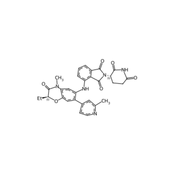 CC[C@@H]1Oc2cc(-c3ccnc(C)c3)c(Nc3cccc4c3C(=O)N([C@H]3CCC(=O)NC3=O)C4=O)cc2N(C)C1=O